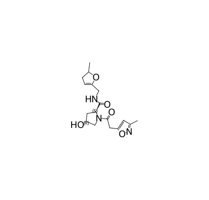 Cc1cc(CC(=O)N2C[C@H](O)C[C@H]2C(=O)NCC2=CCC(C)O2)on1